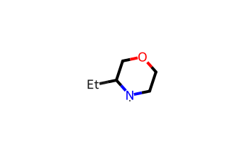 CCC1COCC[N]1